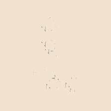 Cc1ncc([N+](=O)[O-])n1CCSc1nnc(-c2ccccn2)o1